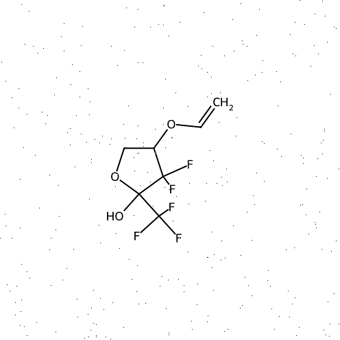 C=COC1COC(O)(C(F)(F)F)C1(F)F